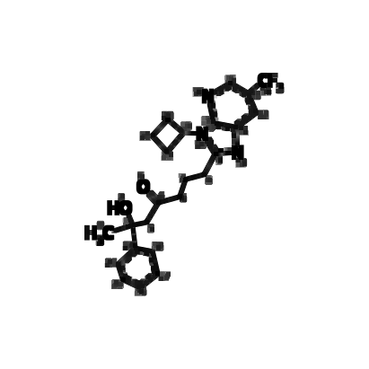 CC(O)(CC(=O)CCCc1nc2cc(C(F)(F)F)cnc2n1C1CCC1)c1ccccc1